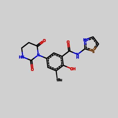 CC(C)(C)c1cc(N2C(=O)CCNC2=O)cc(C(=O)Nc2nccs2)c1O